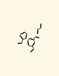 C=CC=C.C=Cc1cccc(C=C)c1.C=Cc1ccccc1